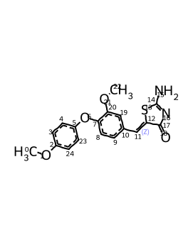 COc1ccc(Oc2ccc(/C=C3\SC(N)=NC3=O)cc2OC)cc1